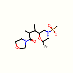 CC(C)C(C)OC(CNS(C)(=O)=O)C(C)C(C)C(=O)N1CCOCC1